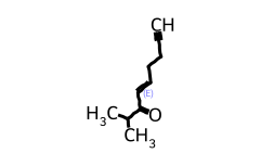 C#CCC/C=C/C(=O)C(C)C